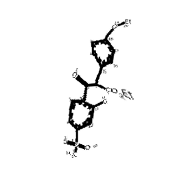 CCOC(=O)C(C(=O)c1ccc(S(C)(=O)=O)cc1Cl)c1ccc(OCC)cc1